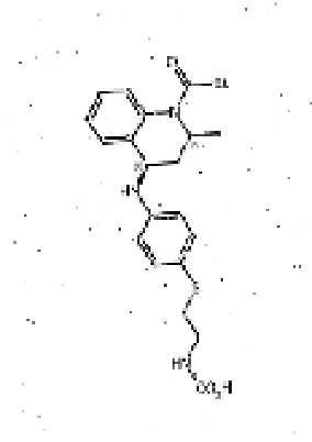 CCC(=O)N1c2ccccc2[C@H](Nc2ccc(SCCNC(=O)O)cc2)C[C@@H]1C